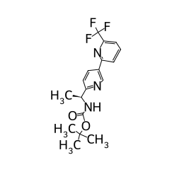 C[C@H](NC(=O)OC(C)(C)C)c1ccc(-c2cccc(C(F)(F)F)n2)cn1